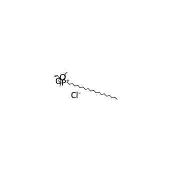 C=CC(=O)OC(C)[P+](C)(CCCC)CCCCCCCCCCCCCCCCCCCC.[Cl-]